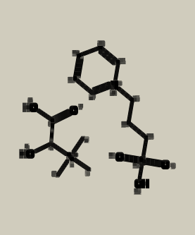 C[N+](C)(C)C(O)C(=O)O.O=S(=O)(O)CCC[n+]1ccccc1